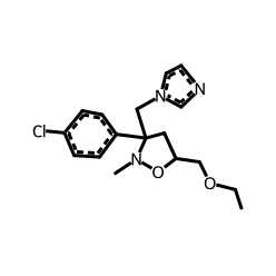 CCOCC1CC(Cn2ccnc2)(c2ccc(Cl)cc2)N(C)O1